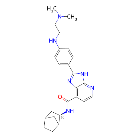 CN(C)CCNc1ccc(-c2nc3c(C(=O)N[C@@H]4CC5CCC4C5)ccnc3[nH]2)cc1